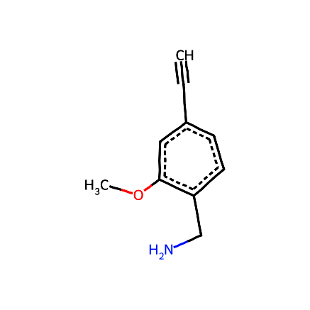 C#Cc1ccc(CN)c(OC)c1